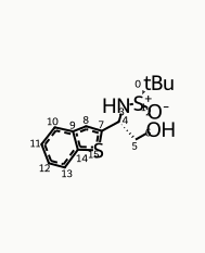 CC(C)(C)[S@+]([O-])N[C@H](CO)c1cc2ccccc2s1